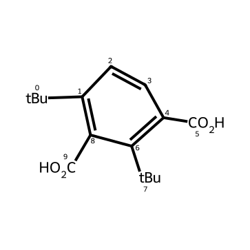 CC(C)(C)c1ccc(C(=O)O)c(C(C)(C)C)c1C(=O)O